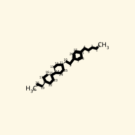 CCCCCc1ccc(CC[C@H]2CC[C@H]([C@H]3CC[C@H](CCC)CC3)CC2)cc1